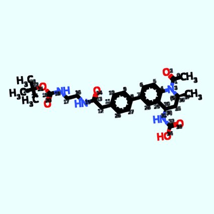 CC(=O)N1c2ccc(-c3ccc(CC(=O)NCCNC(=O)OC(C)(C)C)cc3)cc2[C@H](NC(=O)O)C[C@@H]1C